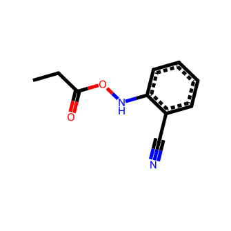 CCC(=O)ONc1ccccc1C#N